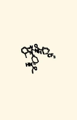 C=CC(=O)N[C@H]1CCC[C@H](n2c(NC(=O)c3cccc(C(F)(F)F)c3)nc3cccc(C)c32)C1